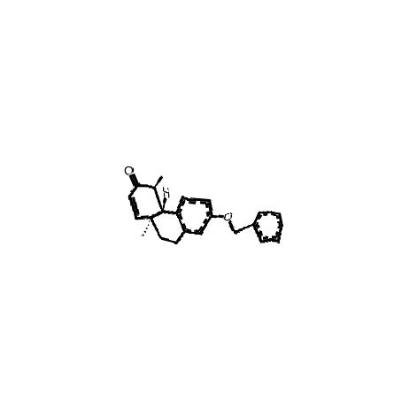 C[C@@H]1C(=O)C=C[C@]2(C)CCc3cc(OCc4ccccc4)ccc3[C@@H]12